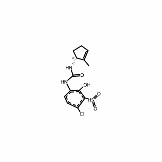 CC1=CCC[C@H]1NC(=O)Nc1ccc(Cl)c([SH](=O)=O)c1O